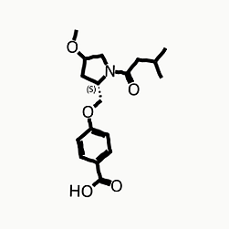 COC1C[C@@H](COc2ccc(C(=O)O)cc2)N(C(=O)CC(C)C)C1